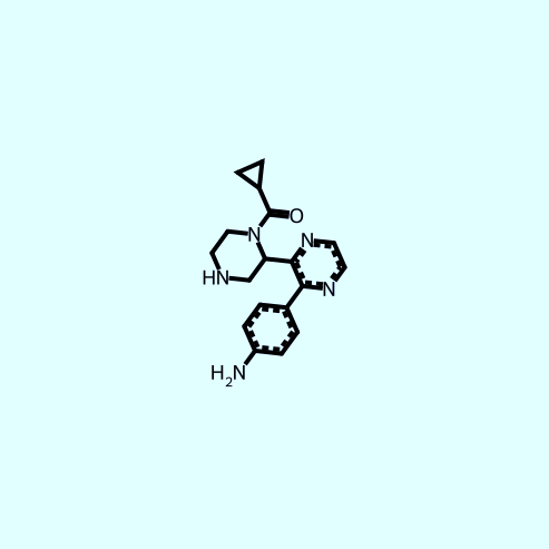 Nc1ccc(-c2nccnc2C2CNCCN2C(=O)C2CC2)cc1